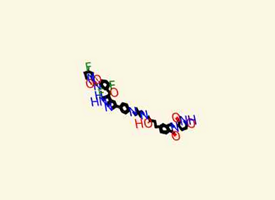 O=C1CC[C@@H](N2Cc3cc(CC[C@@H](O)CN4CC5(C4)CN(c4ccc(-c6cnc7[nH]cc(C(=O)c8c(F)ccc(NS(=O)(=O)N9CC[C@@H](F)C9)c8F)c7c6)cc4)C5)ccc3C2=O)C(=O)N1